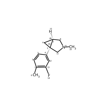 Cc1ccc([C@]23C[C@H]2CN(C)C3)cc1F